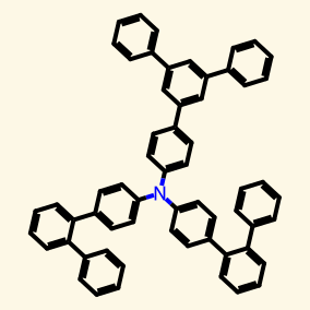 c1ccc(-c2cc(-c3ccccc3)cc(-c3ccc(N(c4ccc(-c5ccccc5-c5ccccc5)cc4)c4ccc(-c5ccccc5-c5ccccc5)cc4)cc3)c2)cc1